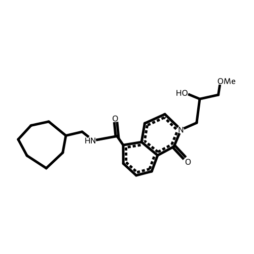 COCC(O)Cn1ccc2c(C(=O)NCC3CCCCCC3)cccc2c1=O